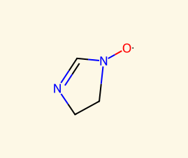 [O]N1C=NCC1